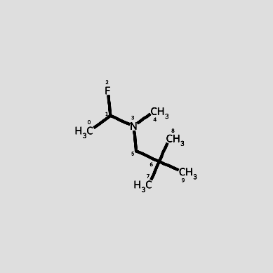 CC(F)N(C)CC(C)(C)C